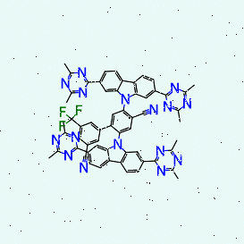 Cc1nc(C)nc(-c2ccc3c4ccc(-c5nc(C)nc(C)n5)cc4n(-c4cc(-c5cc(C#N)cc(C(F)(F)F)c5)c(-n5c6cc(-c7nc(C)nc(C)n7)ccc6c6ccc(-c7nc(C)nc(C)n7)cc65)cc4C#N)c3c2)n1